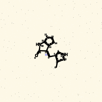 Cc1n[nH]cc1/C=C1/C(=O)Nc2sccc21